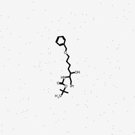 CC(C)CC(NC(=O)OC(C)(C)[SiH3])C(O)CCCCOCc1ccccc1